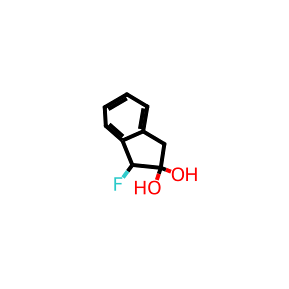 OC1(O)Cc2ccccc2C1F